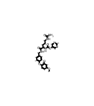 COc1ccc(Oc2ccc(CNC(=O)C(CCCNC(N)=O)NC(=O)Oc3cncnc3)cc2)c(Cl)c1